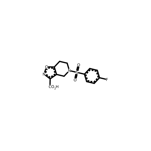 O=C(O)c1noc2c1CN(S(=O)(=O)c1ccc(F)cc1)CC2